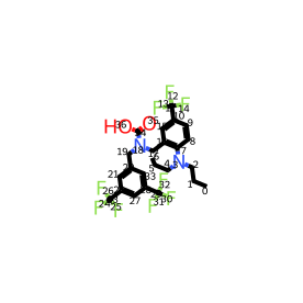 CCCN(CCC)c1ccc(C(F)(F)F)cc1CN(Cc1cc(C(F)(F)F)cc(C(F)(F)F)c1)C(=O)O